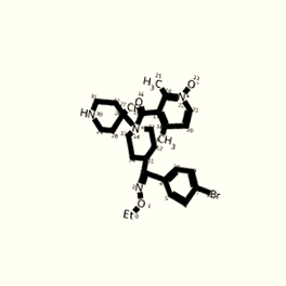 CCO/N=C(\c1ccc(Br)cc1)C1CC[N+](C(=O)c2c(C)cc[n+]([O-])c2C)(C2(C)CCNCC2)CC1